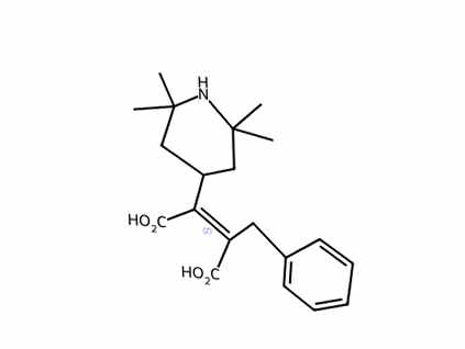 CC1(C)CC(/C(C(=O)O)=C(\Cc2ccccc2)C(=O)O)CC(C)(C)N1